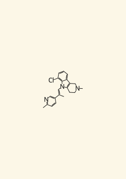 CC(=Cn1c2c(c3cccc(Cl)c31)CN(C)CC2)c1ccc(C)nc1